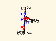 CCCCC(CC)COCC(O)CNCCN(CCNCCNCCNCC(O)COCCC[Si](OC)(OC)OC)CC(O)COCCC[Si](OC)(OC)OC